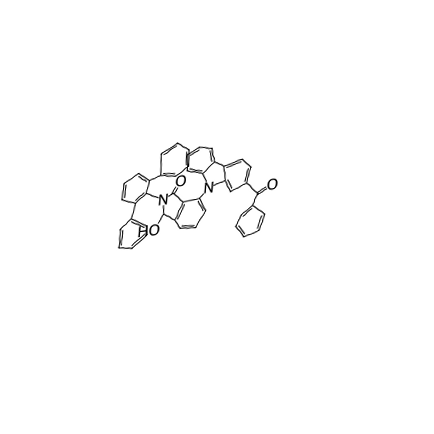 O=C(c1ccccc1)c1ccc2c3ccccc3n(-c3cccc4c3C(=O)N(c3c(-c5ccccc5)cccc3-c3ccccc3)C4O)c2c1